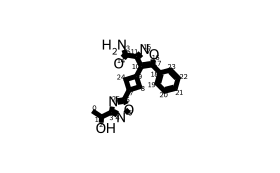 CC(O)c1noc(C2CC(c3c(C(N)=O)noc3-c3ccccc3)C2)n1